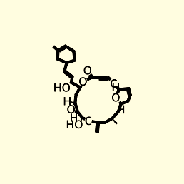 C=C1C[C@H](C)C[C@@H]2CC=C[C@@H](C/C=C\C(=O)OC([C@@H](O)/C=C/C3CCC=C(C)C3)C[C@@H]3O[C@H]3[C@@H](O)C1)O2